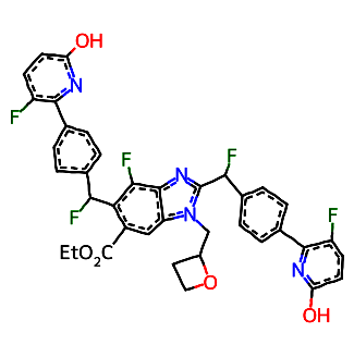 CCOC(=O)c1cc2c(nc(C(F)c3ccc(-c4nc(O)ccc4F)cc3)n2CC2CCO2)c(F)c1C(F)c1ccc(-c2nc(O)ccc2F)cc1